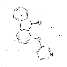 O=C1c2ccccc2-c2[c]ccc(Oc3cccnc3)c21